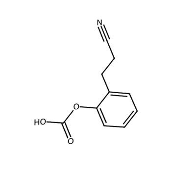 N#CCCc1ccccc1OC(=O)O